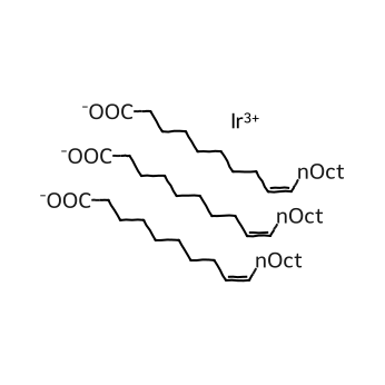 CCCCCCCC/C=C\CCCCCCCC(=O)[O-].CCCCCCCC/C=C\CCCCCCCC(=O)[O-].CCCCCCCC/C=C\CCCCCCCC(=O)[O-].[Ir+3]